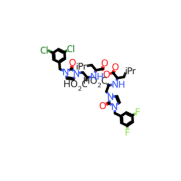 CC(C)CC(NC(Cn1ccn(Cc2cc(F)cc(F)c2)c1=O)C(=O)O)C(=O)OC(=O)C(CC(C)C)NC(Cn1ccn(Cc2cc(Cl)cc(Cl)c2)c1=O)C(=O)O